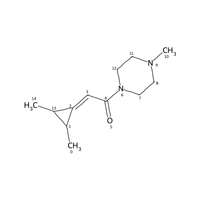 CC1C(=CC(=O)N2CCN(C)CC2)C1C